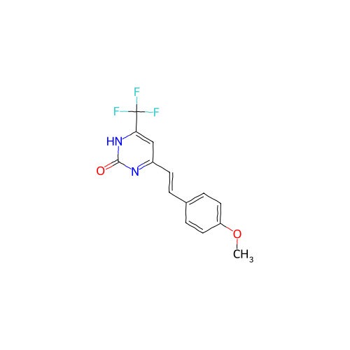 COc1ccc(C=Cc2cc(C(F)(F)F)[nH]c(=O)n2)cc1